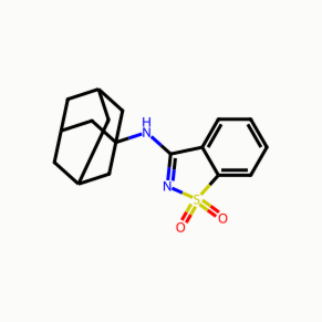 O=S1(=O)N=C(NC23CC4CC(CC(C4)C2)C3)c2ccccc21